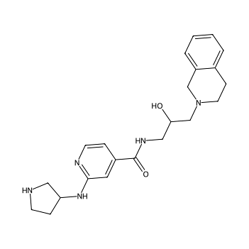 O=C(NCC(O)CN1CCc2ccccc2C1)c1ccnc(NC2CCNC2)c1